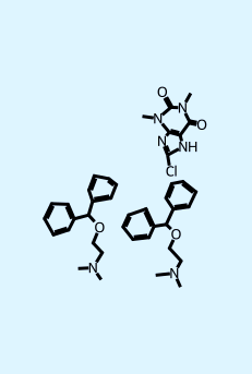 CN(C)CCOC(c1ccccc1)c1ccccc1.CN(C)CCOC(c1ccccc1)c1ccccc1.Cn1c(=O)c2[nH]c(Cl)nc2n(C)c1=O